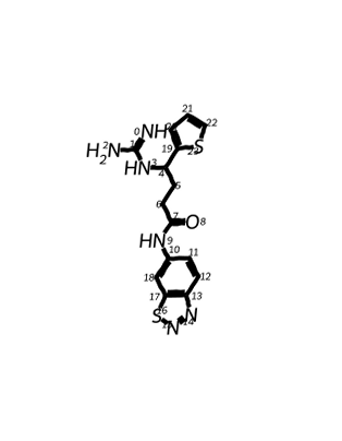 N=C(N)NC(CCC(=O)Nc1ccc2nnsc2c1)c1cccs1